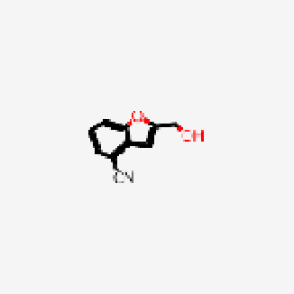 N#Cc1cccc2oc(CO)cc12